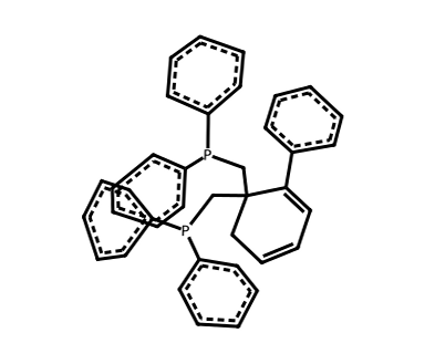 C1=CCC(CP(c2ccccc2)c2ccccc2)(CP(c2ccccc2)c2ccccc2)C(c2ccccc2)=C1